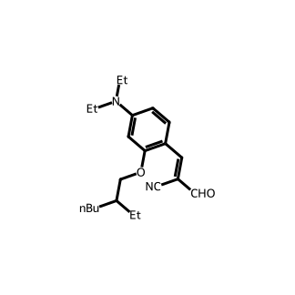 CCCCC(CC)COc1cc(N(CC)CC)ccc1/C=C(\C#N)C=O